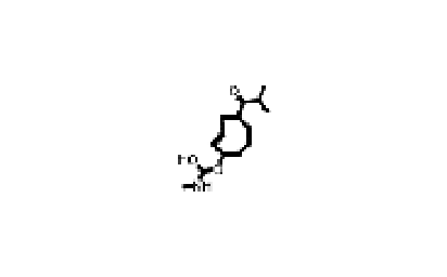 CNC(O)OC1/C=C/CC(C(=O)C(C)C)CCC1